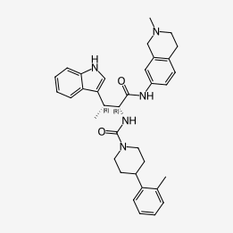 Cc1ccccc1C1CCN(C(=O)N[C@@H](C(=O)Nc2ccc3c(c2)CN(C)CC3)[C@H](C)c2c[nH]c3ccccc23)CC1